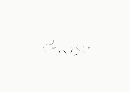 CCc1sc(C(=O)C=Cc2ccc(S(=O)(=O)NC)cc2)c2c1CC(C)(C)CC2